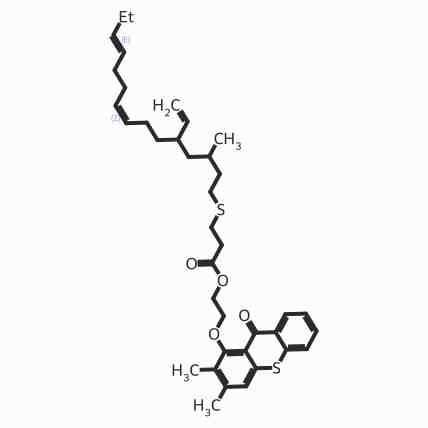 C=CC(CC/C=C\CC/C=C/CC)CC(C)CCSCCC(=O)OCCOc1c(C)c(C)cc2sc3ccccc3c(=O)c12